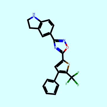 FC(F)(F)c1sc(-c2nc(-c3ccc4c(c3)CCN4)no2)cc1-c1ccccc1